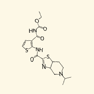 CCOC(=O)NC(=O)c1ccsc1NC(=O)C1=NC2CN(C(C)C)CCC2S1